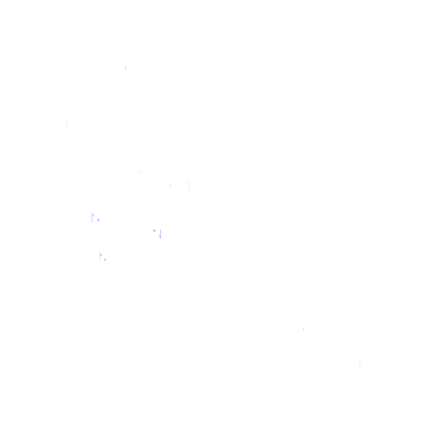 COC(=O)c1ccc(Cc2nnc(C(C)(C)CC(C)C)n2C)cc1